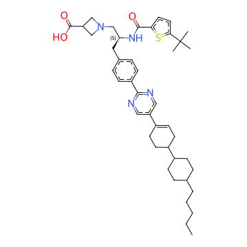 CCCCCC1CCC(C2CC=C(c3cnc(-c4ccc(C[C@@H](CN5CC(C(=O)O)C5)NC(=O)c5ccc(C(C)(C)C)s5)cc4)nc3)CC2)CC1